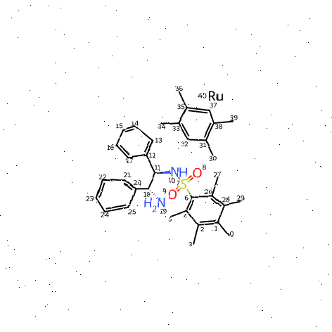 Cc1c(C)c(C)c(S(=O)(=O)N[C@H](c2ccccc2)[C@H](N)c2ccccc2)c(C)c1C.Cc1cc(C)c(C)cc1C.[Ru]